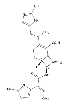 CON=C(C(=O)N[C@@H]1C(=O)N2C(C(=O)O)=C(C(C)Sc3nnc(O)[nH]3)CS[C@@H]12)c1csc(N)n1